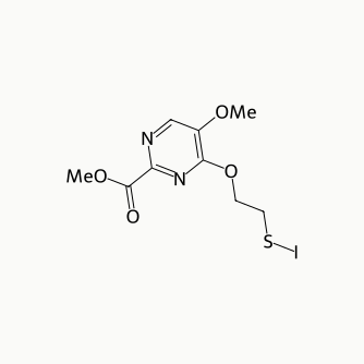 COC(=O)c1ncc(OC)c(OCCSI)n1